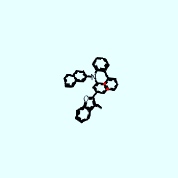 Cc1c(-c2cccc(N(c3ccc4ccccc4c3)c3ccccc3-c3ccccc3)c2)oc2ccccc12